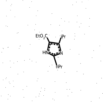 CCCc1nc(C(C)C)c(C(=O)OCC)[nH]1